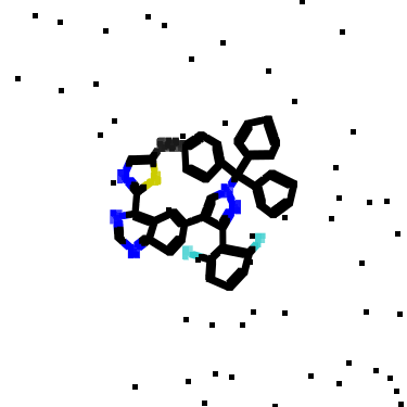 CSc1cnc(-c2ncnc3ccc(-c4cn(C(c5ccccc5)(c5ccccc5)c5ccccc5)nc4-c4c(F)cccc4F)cc23)s1